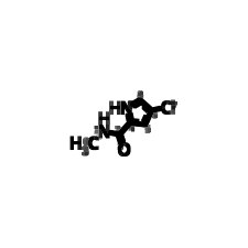 CNC(=O)c1cc(Cl)c[nH]1